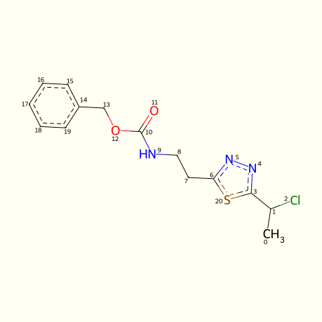 CC(Cl)c1nnc(CCNC(=O)OCc2ccccc2)s1